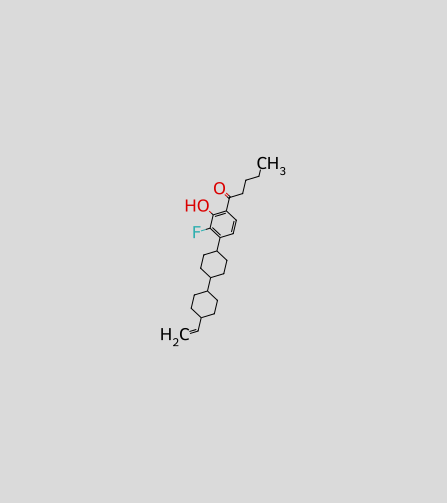 C=CC1CCC(C2CCC(c3ccc(C(=O)CCCC)c(O)c3F)CC2)CC1